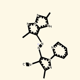 [C-]#[N+]c1c(C)nn(-c2ccccn2)c1/N=N/c1c(C)nn2nc(C)[nH]c12